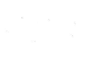 COc1ccc2ncc(Cl)c([C@@H](O)CCC3(CC(=O)O)CCN(CCCc4cnccn4)CC3)c2c1